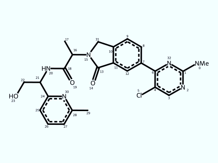 CNc1ncc(Cl)c(-c2ccc3c(c2)C(=O)N(C(C)C(=O)NC(CO)c2cccc(C)n2)C3)n1